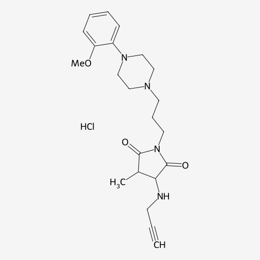 C#CCNC1C(=O)N(CCCN2CCN(c3ccccc3OC)CC2)C(=O)C1C.Cl